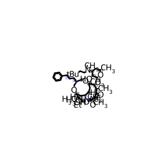 CC[C@H]1OC(=O)[C@@](C)(F)C(=O)[C@H](C)[C@@H](O[C@@H]2O[C@H](C)C[C@H](N(C)CCC(C)(C)C)[C@H]2O)[C@@]2(C)C[C@@H](C)/C(=N\C(C)=O)[C@H](C)[C@@H](OC/C(=C\C=C\c3ccccc3)CO2)[C@]1(C)O